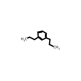 C[CH]Cc1cccc(C[CH]C)c1